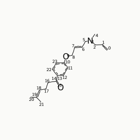 C=CCN(C)CC=CCOc1ccc(C(=O)CCC=C(C)C)cc1